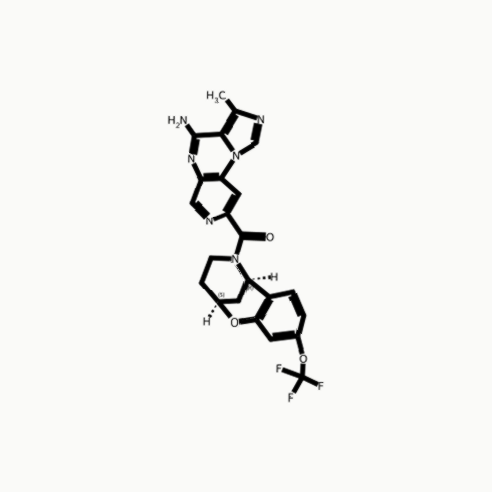 Cc1ncn2c1c(N)nc1cnc(C(=O)N3CC[C@H]4C[C@@H]3c3ccc(OC(F)(F)F)cc3O4)cc12